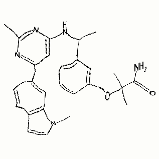 Cc1nc(NC(C)c2cccc(OC(C)(C)C(N)=O)c2)cc(-c2ccc3ccn(C)c3c2)n1